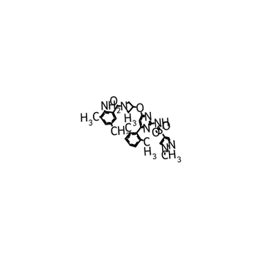 Cc1cc(C)c(N)c(C(=O)N2CC(Oc3cc(-c4c(C)cccc4C)nc(NS(=O)(=O)c4cnn(C)c4)n3)C2)c1